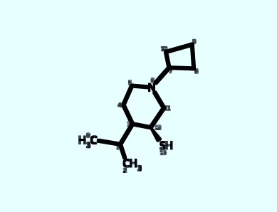 CC(C)C1CCN(C2CCC2)C[C@H]1S